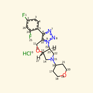 Cl.Fc1ccc(-c2nnn3c2CO[C@H]2CN(C4CCOCC4)C[C@@H]23)c(F)c1